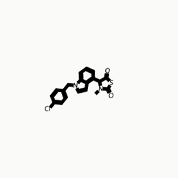 CN1C(=O)SC(=O)C1c1cccc2c1ccn2Cc1ccc(Cl)cc1